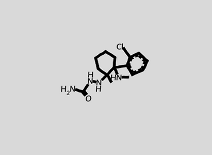 CNC1(c2ccccc2Cl)CCCCC1(C)NNC(N)=O